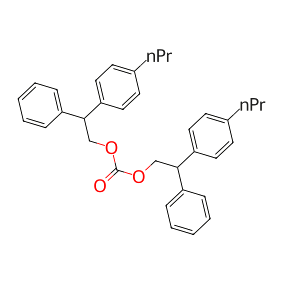 CCCc1ccc(C(COC(=O)OCC(c2ccccc2)c2ccc(CCC)cc2)c2ccccc2)cc1